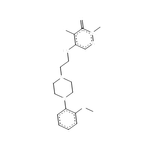 COc1ccccc1N1CCN(CCNc2cnn(C)c(=O)c2Br)CC1